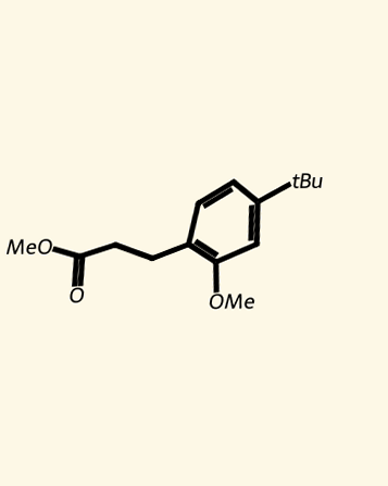 COC(=O)CCc1ccc(C(C)(C)C)cc1OC